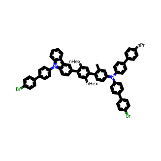 CCCCCCc1cc(-c2ccc(N(c3ccc(-c4ccc(Br)cc4)cc3)c3ccc(-c4ccc(CCC)cc4)cc3)cc2C)c(CCCCCC)cc1-c1ccc2c(c1)c1ccccc1n2-c1ccc(-c2ccc(Br)cc2)cc1